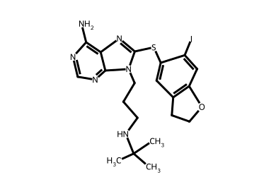 CC(C)(C)NCCCn1c(Sc2cc3c(cc2I)OCC3)nc2c(N)ncnc21